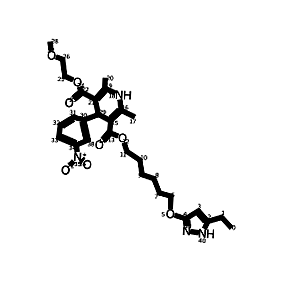 CCc1cc(OCCCCCCOC(=O)C2=C(C)NC(C)=C(C(=O)OCCOC)C2c2cccc([N+](=O)[O-])c2)n[nH]1